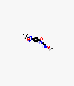 CC(C)ONCCCNC(=O)c1ccc(-c2noc(C(F)(F)F)n2)cc1